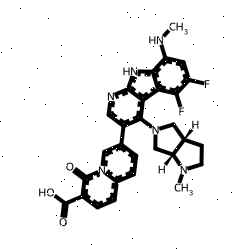 CNc1cc(F)c(F)c2c1[nH]c1ncc(-c3ccc4ccc(C(=O)O)c(=O)n4c3)c(N3C[C@@H]4CCN(C)[C@@H]4C3)c12